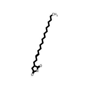 CCCCCCCCCCCCCCC=CCCC1CC(=O)[N]C1=O